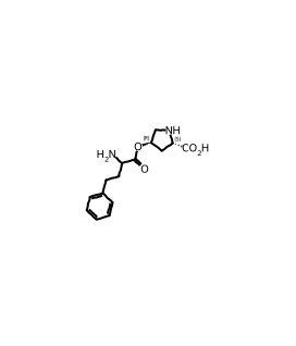 NC(CCc1ccccc1)C(=O)O[C@H]1CN[C@H](C(=O)O)C1